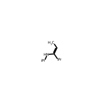 C/C=C(\NC(C)C)C(C)C